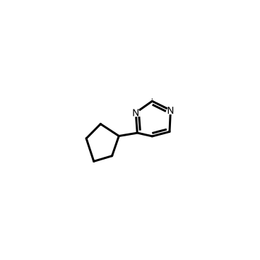 [c]1nccc(C2CCCC2)n1